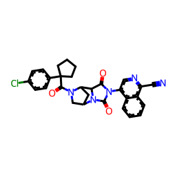 N#Cc1ncc(N2C(=O)C3C4CC(CN4C(=O)C4(c5ccc(Cl)cc5)CCCC4)N3C2=O)c2ccccc12